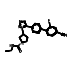 CCNC(=O)[C@H]1CCC(n2nncc2-c2ccc(-c3ccc(C#N)cc3F)cc2)C1